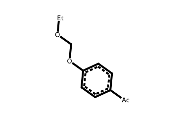 CCOCOc1ccc(C(C)=O)cc1